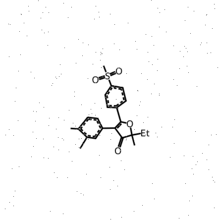 CCC1(C)OC(c2ccc(S(C)(=O)=O)cc2)=C(c2ccc(C)c(C)c2)C1=O